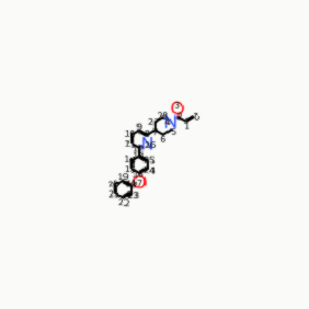 C=CC(=O)N1CCC(c2cccc(-c3ccc(Oc4ccccc4)cc3)n2)CC1